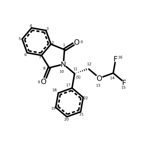 O=C1c2ccccc2C(=O)N1[C@H](COC(F)F)c1ccccc1